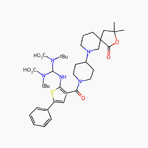 CC1(C)CC2(CCCN(C3CCN(C(=O)c4cc(-c5ccccc5)sc4NC(N(C(=O)O)C(C)(C)C)N(C(=O)O)C(C)(C)C)CC3)C2)C(=O)O1